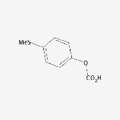 CSc1ccc(OC(=O)O)cc1